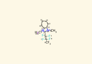 Cn1c(C(F)(F)C(F)(F)C(F)(F)F)[n+](C)c2ccccc21.[I-]